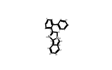 c1ccc(-c2ccccc2C2=Nc3c4ccccc4cn3C2)cc1